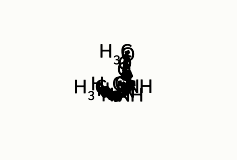 COCCOCOc1ccc(-c2c[nH]c3nc(Nc4ccc(CN5CCN(C)CC5)cc4)nc(OC)c23)cc1